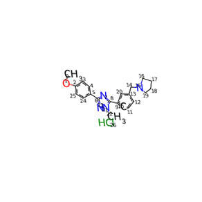 COc1ccc(-c2nc(-c3cccc(CN4CCCC4)c3)n(C)n2)cc1.Cl